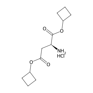 Cl.N[C@@H](CC(=O)OC1CCC1)C(=O)OC1CCC1